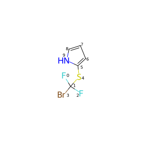 FC(F)(Br)Sc1ccc[nH]1